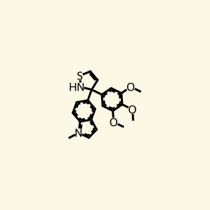 COc1cc(C2(c3ccc4c(ccn4C)c3)C=CSN2)cc(OC)c1OC